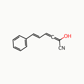 N#CC(O)=C=CC=Cc1ccccc1